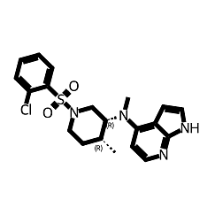 C[C@@H]1CCN(S(=O)(=O)c2ccccc2Cl)C[C@@H]1N(C)c1ccnc2[nH]ccc12